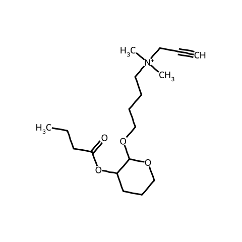 C#CC[N+](C)(C)CCCCOC1OCCCC1OC(=O)CCC